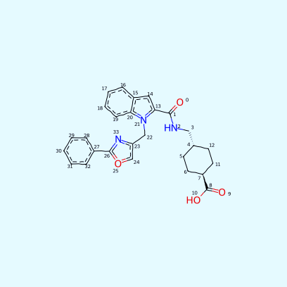 O=C(NC[C@H]1CC[C@H](C(=O)O)CC1)c1cc2ccccc2n1Cc1coc(-c2ccccc2)n1